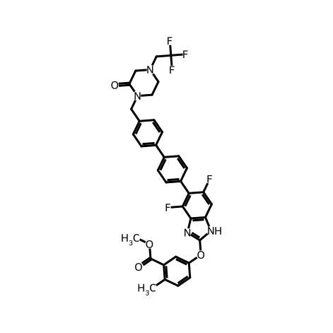 COC(=O)c1cc(Oc2nc3c(F)c(-c4ccc(-c5ccc(CN6CCN(CC(F)(F)F)CC6=O)cc5)cc4)c(F)cc3[nH]2)ccc1C